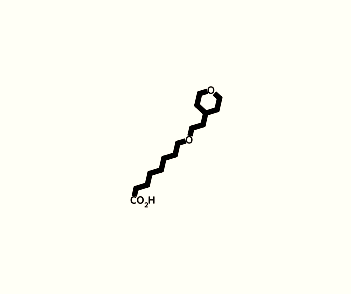 O=C(O)CCCCCCCOCCC1CCOCC1